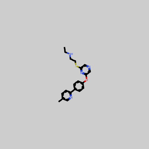 CCNCCSc1cncc(Oc2ccc(-c3ccc(C)cn3)cc2)n1